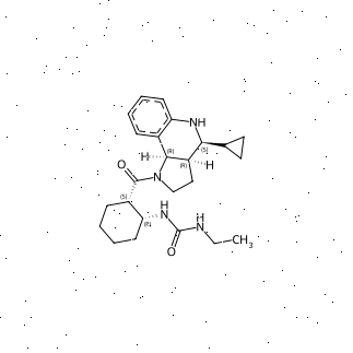 CCNC(=O)N[C@@H]1CCCC[C@@H]1C(=O)N1CC[C@@H]2[C@H](C3CC3)Nc3ccccc3[C@@H]21